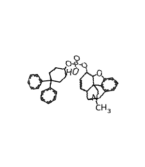 CN1CCC23c4c5cccc4OC2C(OP(=O)(O)OC2CCC(c4ccccc4)(c4ccccc4)CC2)C=CC3C1C5